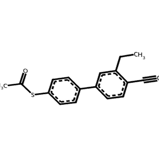 C#Cc1ccc(-c2ccc(SC(C)=O)cc2)cc1CC